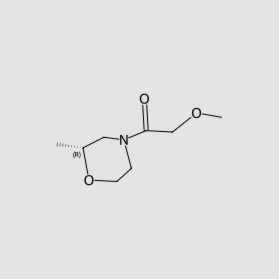 COCC(=O)N1CCO[C@H](C)C1